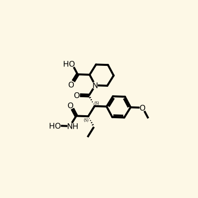 CC[C@H](C(=O)NO)[C@H](C(=O)N1CCCCC1C(=O)O)c1ccc(OC)cc1